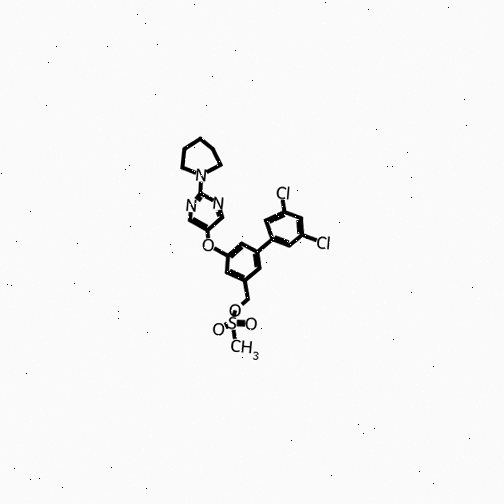 CS(=O)(=O)OCc1cc(Oc2cnc(N3CCCCC3)nc2)cc(-c2cc(Cl)cc(Cl)c2)c1